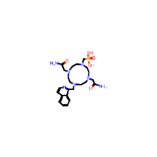 NC(=O)CN1CCN(Cc2nccc3ccccc23)CCN(CC(N)=O)CCN(CP(=O)(O)O)CC1